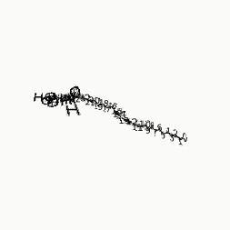 CCCCCCCCCCCCC#CC#CCCCCCCCCC(=O)NCCCP(=O)(O)O